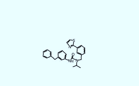 CC(C)N(Cc1cccc(-c2nccs2)c1)C(=O)Nc1cccc(Cc2ccccc2)c1